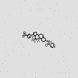 C[C@]12CC[C@H](NC(=O)N3C=CN=CC3)CC1=CCC1C2CC[C@]2(C)C(n3cnc([N+](=O)[O-])c3)=CCC12